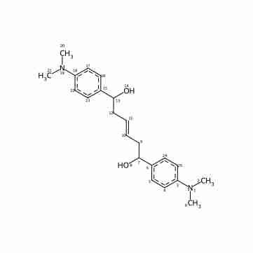 CN(C)c1ccc(C(O)C/C=C/CC(O)c2ccc(N(C)C)cc2)cc1